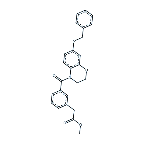 COC(=O)Cc1cccc(C(=O)N2CCOc3cc(SCc4ccccc4)ccc32)c1